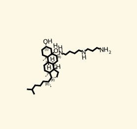 CC(C)CCC[C@@H](C)[C@H]1CC[C@H]2[C@@H]3C[C@@H](NCCCCNCCCN)[C@@]4(O)C[C@@H](O)CC[C@]4(C)[C@H]3CC[C@]12C